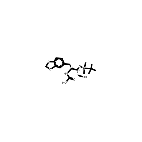 CC(C)(C)[Si](C)(C)O[C@H](CO)[C@H](Cc1ccc2c(c1)OCO2)NC(=O)O